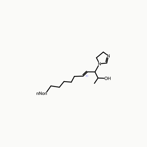 CCCCCCCCCCCCCC/C=C/C(C(C)O)N1C=NCC1